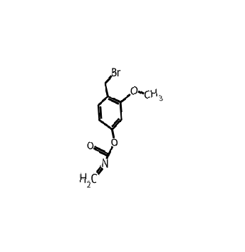 C=NC(=O)Oc1ccc(CBr)c(OC)c1